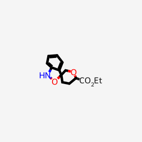 CCOC(=O)C1CCC2(CO1)ONc1ccccc12